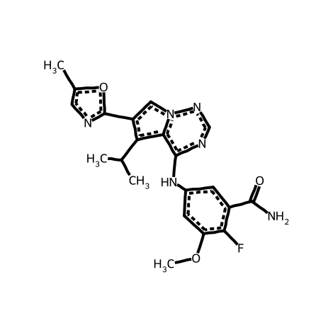 COc1cc(Nc2ncnn3cc(-c4ncc(C)o4)c(C(C)C)c23)cc(C(N)=O)c1F